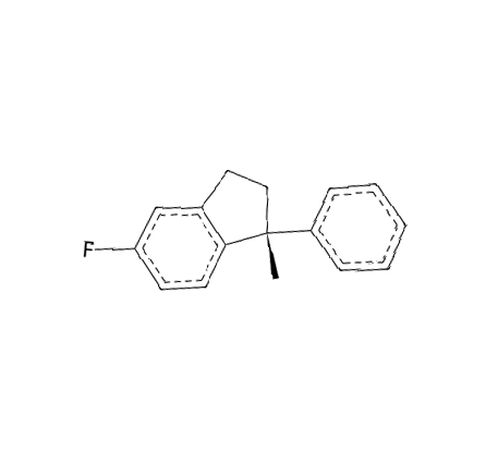 C[C@]1(c2ccccc2)CCc2cc(F)ccc21